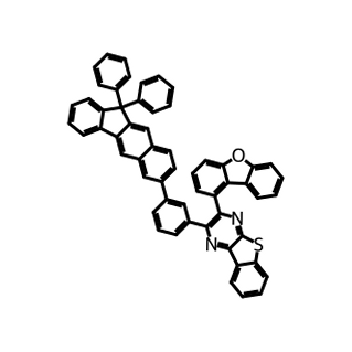 c1ccc(C2(c3ccccc3)c3ccccc3-c3cc4cc(-c5cccc(-c6nc7c(nc6-c6cccc8oc9ccccc9c68)sc6ccccc67)c5)ccc4cc32)cc1